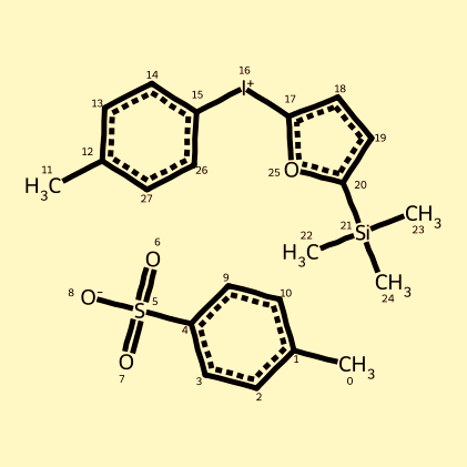 Cc1ccc(S(=O)(=O)[O-])cc1.Cc1ccc([I+]c2ccc([Si](C)(C)C)o2)cc1